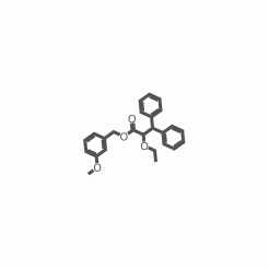 CCOC(C(=O)OCc1cccc(OC)c1)C(c1ccccc1)c1ccccc1